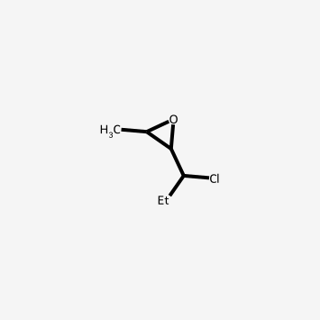 CCC(Cl)C1OC1C